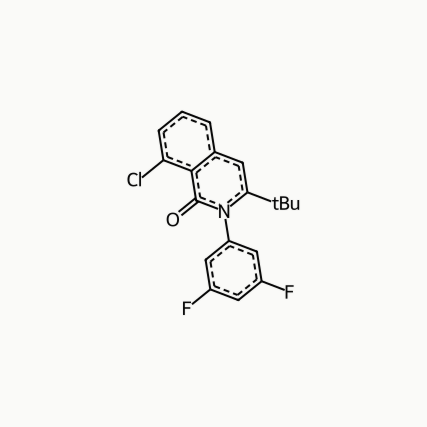 CC(C)(C)c1cc2cccc(Cl)c2c(=O)n1-c1cc(F)cc(F)c1